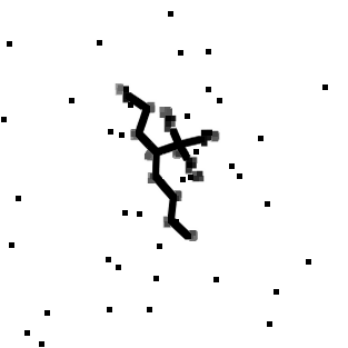 CCCCC(CCI)C(F)(F)F